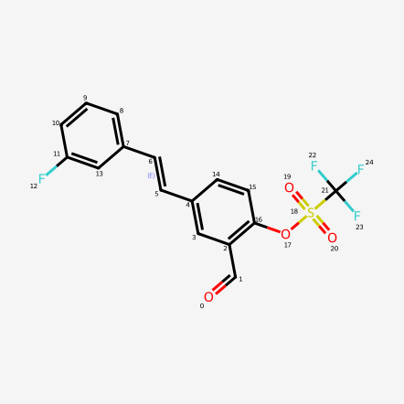 O=Cc1cc(/C=C/c2cccc(F)c2)ccc1OS(=O)(=O)C(F)(F)F